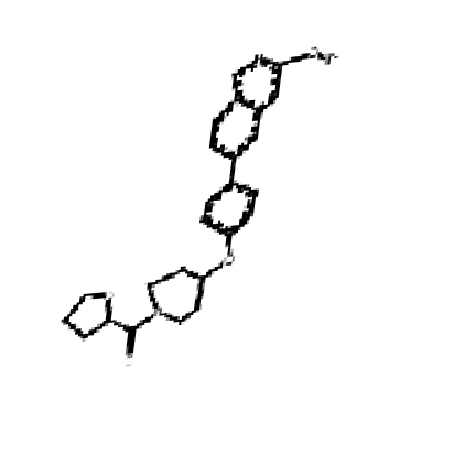 CC(C)Oc1cc2cc(-c3ccc(OC4CCN(C(=O)[C@H]5CCCO5)CC4)cc3)ccc2cn1